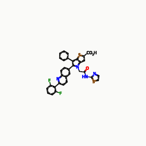 O=C(Cn1c(-c2ccc3nc(-c4c(F)cccc4F)ccc3c2)c(-c2ccccc2)c2sc(C(=O)O)cc21)Nc1nccs1